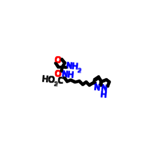 NCC1(C(=O)N[C@@H](CCCCCCCc2ccc3c(n2)NCCC3)C(=O)O)CCOCC1